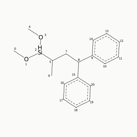 CO[SiH](OC)C(C)CC(c1ccccc1)c1ccccc1